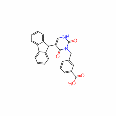 O=C(O)c1cccc(Cn2c(=O)[nH]cc(C3c4ccccc4-c4ccccc43)c2=O)c1